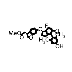 COC(=O)C[C@@H]1COc2cc(O[C@@H]3CCc4c(-c5c(C)cc(O)cc5C)c(Cl)cc(F)c43)ccc21